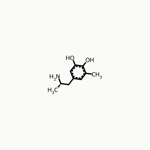 Cc1cc(C[C@@H](C)N)cc(O)c1O